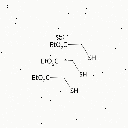 CCOC(=O)CS.CCOC(=O)CS.CCOC(=O)CS.[Sb]